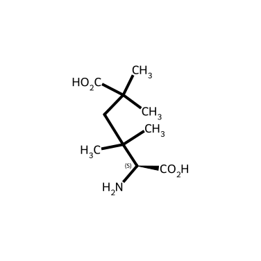 CC(C)(CC(C)(C)[C@H](N)C(=O)O)C(=O)O